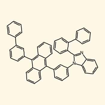 c1ccc(-c2cccc(-c3c4ccccc4c(-c4cccc(-n5c(-c6ccccc6-c6ccccc6)nc6ccccc65)c4)c4ccccc34)c2)cc1